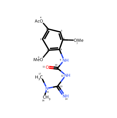 COc1cc(OC(C)=O)cc(OC)c1NC(=O)NC(=N)N(C)C